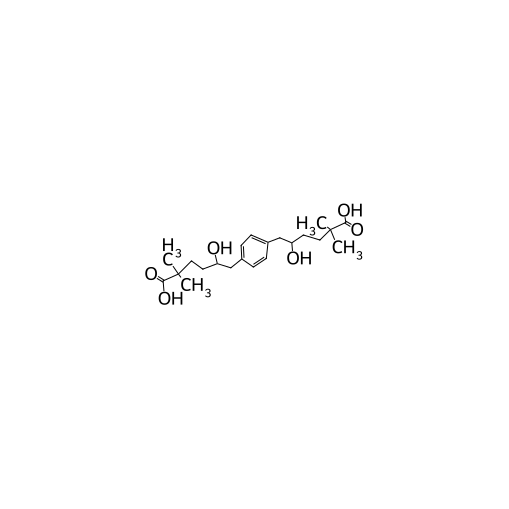 CC(C)(CCC(O)Cc1ccc(CC(O)CCC(C)(C)C(=O)O)cc1)C(=O)O